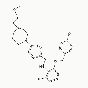 COCCN1CCCN(c2ccc(CNc3c(O)cccc3NCc3ccc(OC)cc3)cc2)CC1